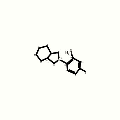 Cc1ccc(N2CC3CCCCC3C2)c(N)c1